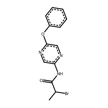 CC(Br)C(=O)Nc1cnc(Oc2ccccc2)cn1